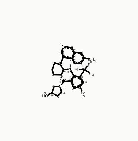 Cc1ccc2c(C3CCCCC3Nc3c(C(=O)N4CCC(O)C4)cc(Br)cc3C(F)(F)F)cncc2c1